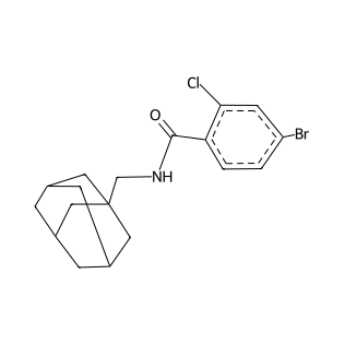 O=C(NCC12CC3CC(CC(C3)C1)C2)c1ccc(Br)cc1Cl